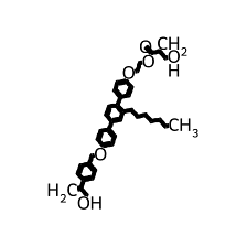 C=C(CO)C(=O)OCCOc1ccc(-c2ccc(-c3ccc(OCc4ccc(C(=C)CO)cc4)cc3)cc2CCCCCCC)cc1